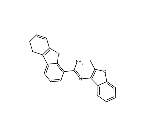 Cc1oc2ccccc2c1/N=C(\N)c1cccc2c3c(sc12)C=CCC3